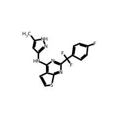 Cc1cc(Nc2nc(C(F)(F)c3ccc(F)cc3)nc3sccc23)n[nH]1